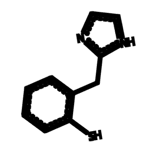 Sc1ccccc1Cc1ncc[nH]1